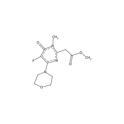 COC(=O)Cc1nc(N2CCOCC2)c(F)c(=O)n1C